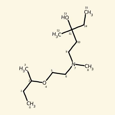 CCC(C)OCCN(C)CCC(C)(O)CC